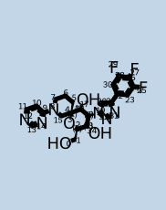 OC[C@H]1O[C@@]2(CCCN(c3ccncn3)C2)[C@@H](O)[C@@H](n2cc(-c3cc(F)c(F)c(F)c3)nn2)[C@H]1O